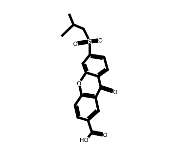 CC(C)CS(=O)(=O)c1ccc2c(=O)c3cc(C(=O)O)ccc3oc2c1